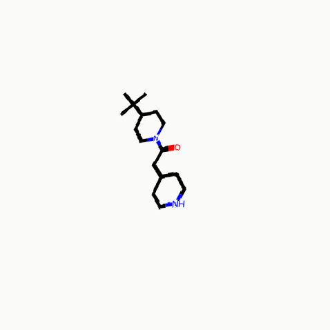 CC(C)(C)C1CCN(C(=O)CC2CCNCC2)CC1